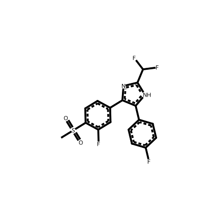 CS(=O)(=O)c1ccc(-c2nc(C(F)F)[nH]c2-c2ccc(F)cc2)cc1F